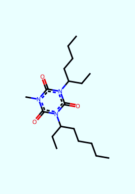 CCCCCC(CC)n1c(=O)n(C)c(=O)n(C(CC)CCCC)c1=O